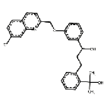 CC(C)(O)c1ccccc1CCC(O)c1cccc(OCc2ccc3ccc(Cl)cc3n2)c1